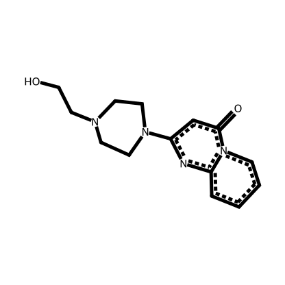 O=c1cc(N2CCN(CCO)CC2)nc2ccccn12